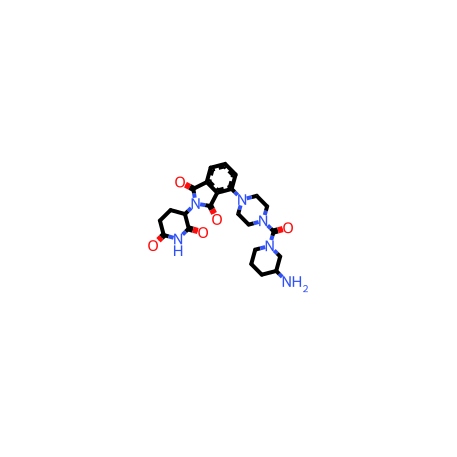 NC1CCCN(C(=O)N2CCN(c3cccc4c3C(=O)N(C3CCC(=O)NC3=O)C4=O)CC2)C1